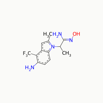 Cc1cc2c(C(F)(F)F)c(N)ccc2n1C(C)/C(N)=N/O